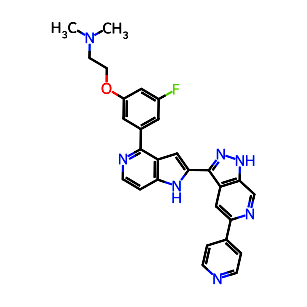 CN(C)CCOc1cc(F)cc(-c2nccc3[nH]c(-c4n[nH]c5cnc(-c6ccncc6)cc45)cc23)c1